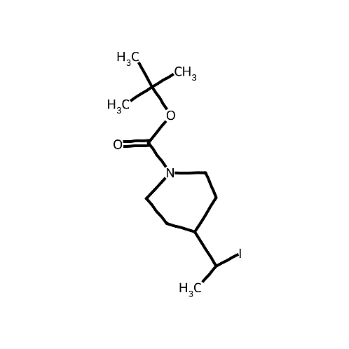 CC(I)C1CCN(C(=O)OC(C)(C)C)CC1